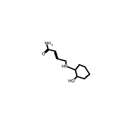 NC(=O)C=CCNC1CCCCC1O